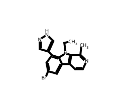 CCn1c2c(-c3cn[nH]c3)cc(Br)cc2c2ccnc(C)c21